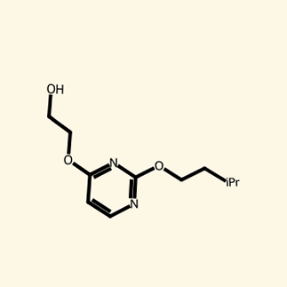 CC(C)CCOc1nccc(OCCO)n1